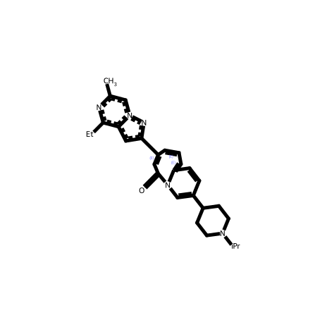 CCc1nc(C)cn2nc(C3=C\C(=O)N4C=C(C5CCN(C(C)C)CC5)C=C\C4=C/C=C/3)cc12